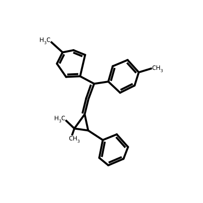 Cc1ccc(C(=C=C2C(c3ccccc3)C2(C)C)c2ccc(C)cc2)cc1